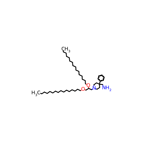 CCCCCCCCCCCCCCCCOCC(CN1CCC(CN)(c2ccccc2)CC1)OCCCCCCCCCCCCCCCC